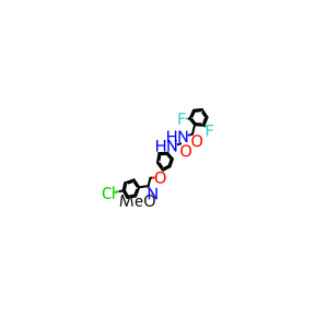 CON=C(COc1ccc(NC(=O)NC(=O)c2c(F)cccc2F)cc1)c1ccc(Cl)cc1